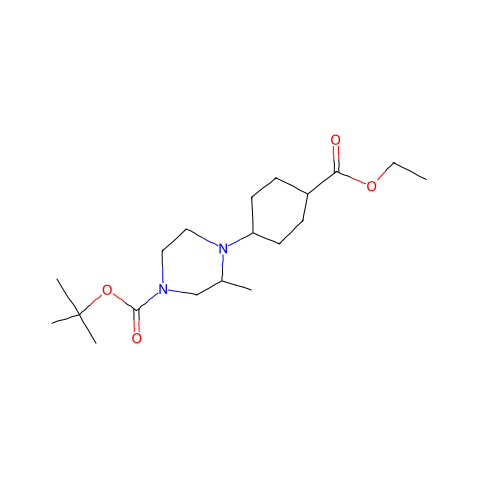 CCOC(=O)C1CCC(N2CCN(C(=O)OC(C)(C)C)CC2C)CC1